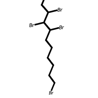 NCC(Br)C(Br)C(Br)CCCCCCBr